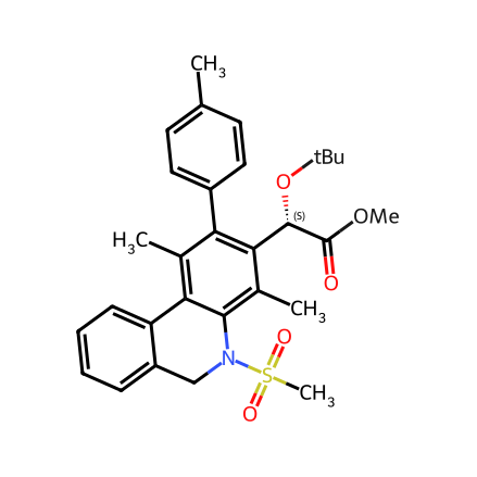 COC(=O)[C@@H](OC(C)(C)C)c1c(C)c2c(c(C)c1-c1ccc(C)cc1)-c1ccccc1CN2S(C)(=O)=O